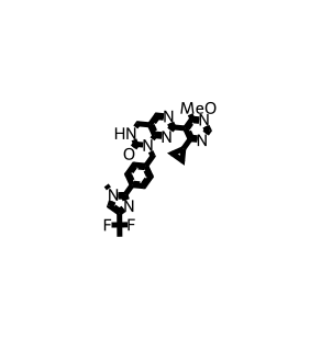 COc1ncnc(C2CC2)c1-c1ncc2c(n1)N(Cc1ccc(-c3nc(C(C)(F)F)cn3C)cc1)C(=O)NC2